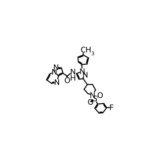 Cc1ccc(-n2nc(C3CCN(S(=O)(=O)c4cccc(F)c4)CC3)cc2NC(=O)c2cnn3cccnc23)cc1